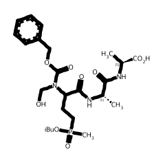 CC(C)COP(C)(=O)CCC(C(=O)N[C@@H](C)C(=O)N[C@@H](C)C(=O)O)N(CO)C(=O)OCc1ccccc1